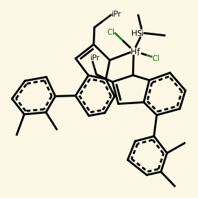 Cc1cccc(-c2cccc3c2C=C(CC(C)C)[CH]3[Hf]([Cl])([Cl])([CH]2C(CC(C)C)=Cc3c(-c4cccc(C)c4C)cccc32)[SiH](C)C)c1C